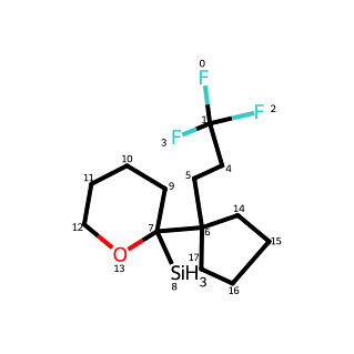 FC(F)(F)CCC1(C2([SiH3])CCCCO2)CCCC1